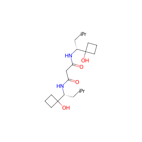 CC(C)C[C@@H](NC(=O)CC(=O)N[C@H](CC(C)C)C1(O)CCC1)C1(O)CCC1